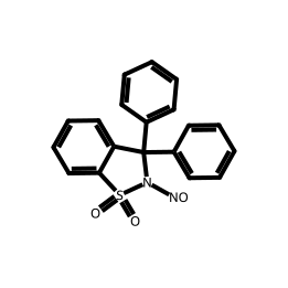 O=NN1C(c2ccccc2)(c2ccccc2)c2ccccc2S1(=O)=O